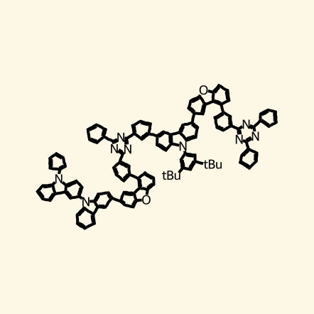 CC(C)(C)c1cc(-n2c3ccc(-c4cccc(-c5nc(-c6ccccc6)nc(-c6cccc(-c7cccc8oc9ccc(-c%10ccc%11c(c%10)c%10ccccc%10n%11-c%10ccc%11c(c%10)c%10ccccc%10n%11-c%10ccccc%10)cc9c78)c6)n5)c4)cc3c3cc(-c4ccc5oc6cccc(-c7cccc(-c8nc(-c9ccccc9)nc(-c9ccccc9)n8)c7)c6c5c4)ccc32)cc(C(C)(C)C)c1